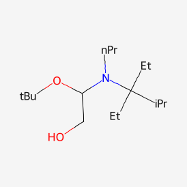 CCCN(C(CO)OC(C)(C)C)C(CC)(CC)C(C)C